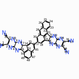 N#Cc1nc2nc3c(nc2nc1C#N)-c1cc(-c2cc4c5c(c6ccccc6cc5c2)-c2nc5nc(C#N)c(C#N)nc5nc2-4)cc2cccc-3c12